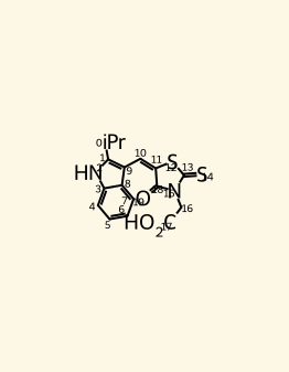 CC(C)c1[nH]c2ccccc2c1C=C1SC(=S)N(CC(=O)O)C1=O